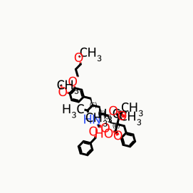 COCCCOc1cc(C[C@@H](C[C@H](NC(=O)OCc2ccccc2)[C@H](C[C@@](Cc2ccccc2)(C(=O)O)C(C)C)OC(C)=O)C(C)C)ccc1OC